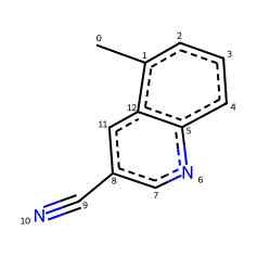 Cc1cccc2ncc(C#N)cc12